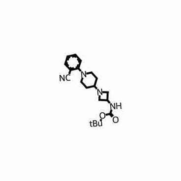 CC(C)(C)OC(=O)NC1CN(C2CCN(c3ccccc3C#N)CC2)C1